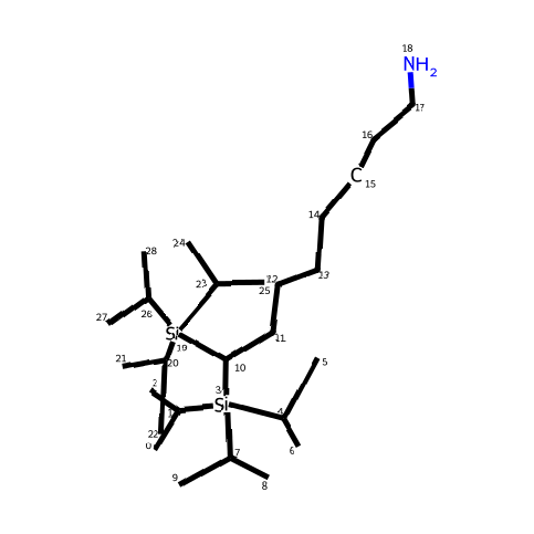 CC(C)[Si](C(C)C)(C(C)C)C(CCCCCCCN)[Si](C(C)C)(C(C)C)C(C)C